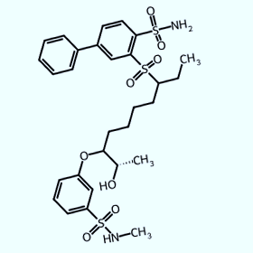 CCC(CCCCC(Oc1cccc(S(=O)(=O)NC)c1)[C@H](C)O)S(=O)(=O)c1cc(-c2ccccc2)ccc1S(N)(=O)=O